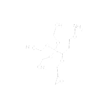 CCO[Si](OCC)(OCC)C(CCON)OCC1CO1